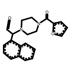 O=CC(c1cccc2ccccc12)N1CCN(C(=O)c2ccco2)CC1